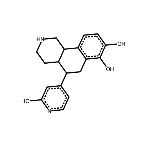 Oc1cc(C2Cc3c(ccc(O)c3O)C3CNCCC23)ccn1